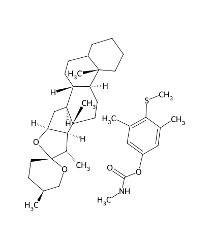 CNC(=O)Oc1cc(C)c(SC)c(C)c1.C[C@H]1CC[C@@]2(OC1)O[C@H]1C[C@H]3[C@@H]4CCC5CCCC[C@]5(C)[C@H]4CC[C@]3(C)[C@H]1[C@@H]2C